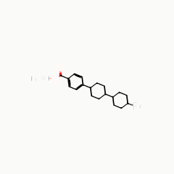 CCCCOC(=O)c1ccc(C2CCC(C3CCC(CC)CC3)CC2)cc1